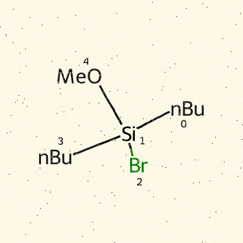 CCCC[Si](Br)(CCCC)OC